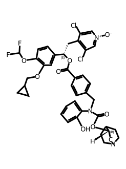 O=C(O[C@@H](Cc1c(Cl)c[n+]([O-])cc1Cl)c1ccc(OC(F)F)c(OCC2CC2)c1)c1ccc(CN(C(=O)O[C@H]2CN3CCC2CC3)c2ccccc2O)cc1